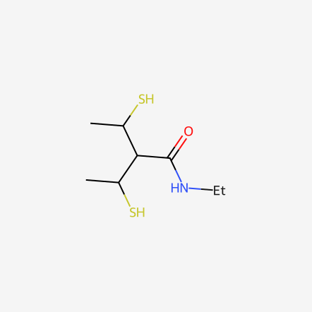 CCNC(=O)C(C(C)S)C(C)S